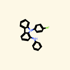 Fc1ccc(-n2c3ccccc3c3cccc(Nc4ccccc4)c32)cc1